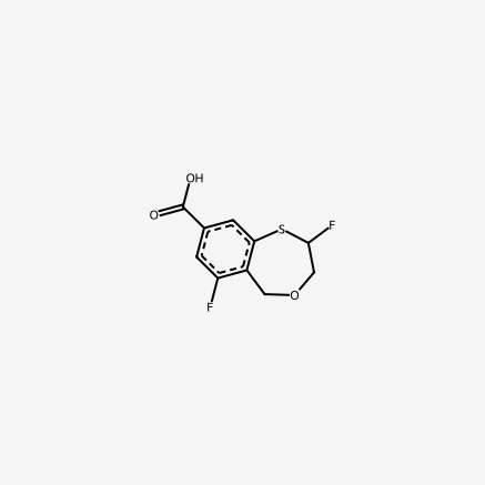 O=C(O)c1cc(F)c2c(c1)SC(F)COC2